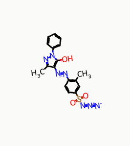 Cc1cc(S(=O)(=O)N=[N+]=[N-])ccc1/N=N/c1c(C)nn(-c2ccccc2)c1O